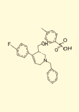 Cc1ccc(S(=O)(=O)O)cc1.OCC1CN(Cc2ccccc2)CC=C1c1ccc(F)cc1